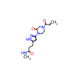 C=CC(=O)N1CCN(c2cc(CCC(=O)NC)[nH]n2)C(=O)C1